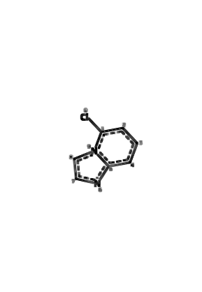 Clc1cccc2nccn12